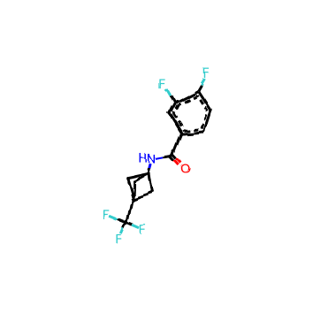 O=C(NC12CC(C(F)(F)F)(C1)C2)c1ccc(F)c(F)c1